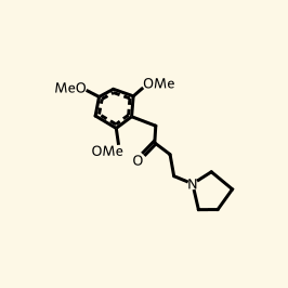 COc1cc(OC)c(CC(=O)CCN2CCCC2)c(OC)c1